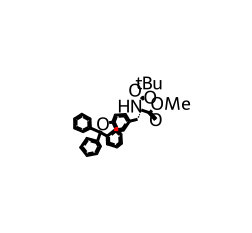 COC(=O)[C@H](Cc1ccc(OC(c2ccccc2)(c2ccccc2)c2ccccc2)cc1)NC(=O)OC(C)(C)C